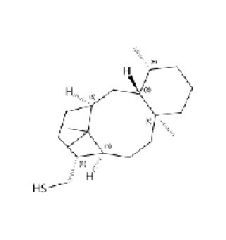 C[C@@H]1CCC[C@@]2(C)CC[C@H]3[C@H](CS)CC[C@@H](C[C@H]12)C3(C)C